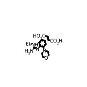 CCNC(N)=Nc1ccccc1N1CCOCC1.O=C(O)C=CC(=O)O